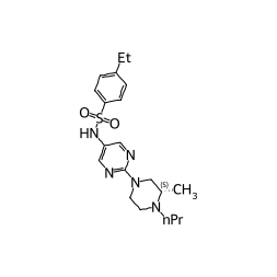 CCCN1CCN(c2ncc(NS(=O)(=O)c3ccc(CC)cc3)cn2)C[C@@H]1C